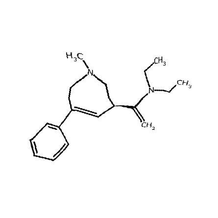 C=C([C@H]1C=C(c2ccccc2)CN(C)C1)N(CC)CC